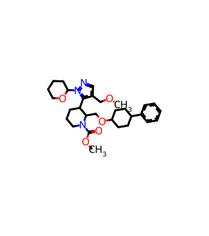 COCc1cnn(C2CCCCO2)c1C1CCCN(C(=O)OC)C1COC1CCC(c2ccccc2)CC1